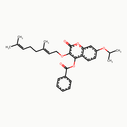 CC(C)=CCC/C(C)=C/COc1c(OC(=O)c2ccccc2)c2ccc(OC(C)C)cc2oc1=O